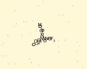 Cc1cc(-c2ccc(C(C)(C)N3CCN(C[C@@H]4C[C@@H](Cc5ccccc5)C(=O)O4)[C@H](C(=O)NCC(F)(F)F)C3)o2)ccn1